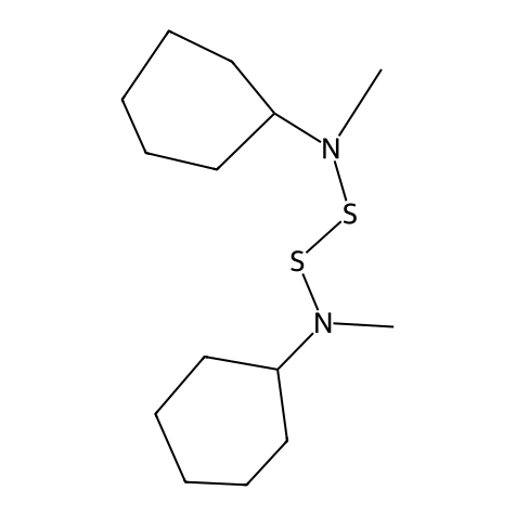 CN(SSN(C)C1CCCCC1)C1CCCCC1